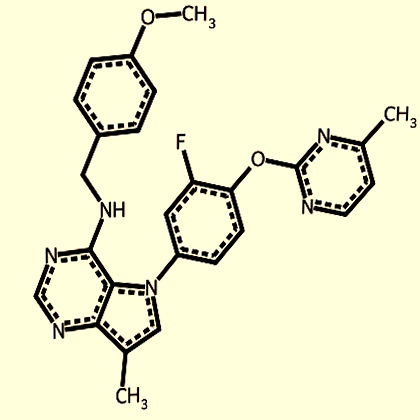 COc1ccc(CNc2ncnc3c(C)cn(-c4ccc(Oc5nccc(C)n5)c(F)c4)c23)cc1